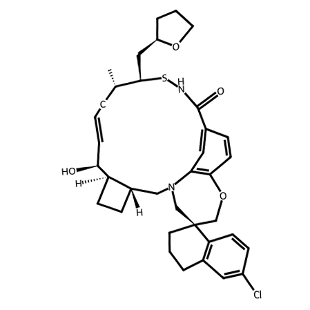 C[C@H]1C/C=C/[C@H](O)[C@@H]2CC[C@H]2CN2C[C@@]3(CCCc4cc(Cl)ccc43)COc3ccc(cc32)C(=O)NS[C@@H]1C[C@H]1CCCO1